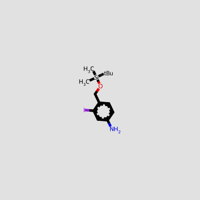 CC(C)(C)[Si](C)(C)OCc1ccc(N)cc1I